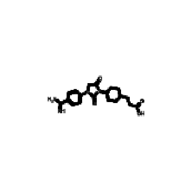 N=C(N)c1ccc(N2CC(=O)N(C3CCC(CCC(=O)O)CC3)C2=O)cc1